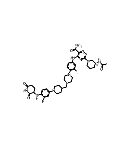 CC(=O)N[C@@H]1CCCN(c2nnc(C(N)=O)c(Nc3ccc(N4CCN(CC5CCN(c6ccc(NC7CCC(=O)NC7=O)c(F)c6)CC5)CC4)c(F)c3)n2)C1